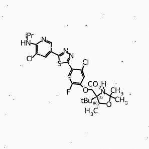 CC(C)Nc1ncc(-c2nnc(-c3cc(F)c(OC[C@@]4(C(C)(C)C)[C@@H](C)OC(C)(C)N4C(=O)O)cc3Cl)s2)cc1Cl